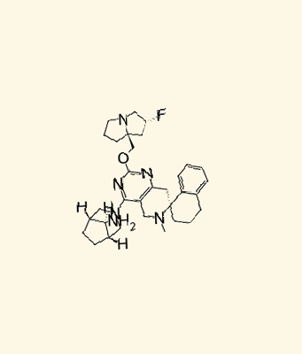 CN1Cc2c(nc(OC[C@@]34CCCN3C[C@H](F)C4)nc2N2C[C@H]3CC[C@@H](C2)[C@@H]3N)C[C@]12CCCc1ccccc12